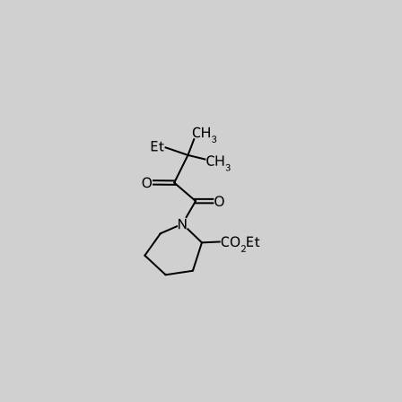 CCOC(=O)C1CCCCN1C(=O)C(=O)C(C)(C)CC